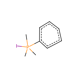 CP(C)(C)(I)c1ccccc1